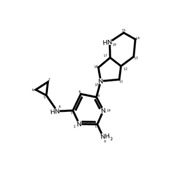 Nc1nc(NC2CC2)cc(N2CC3CCCNC3C2)n1